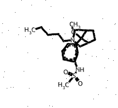 CCCCCN1CC2CCC(C1)C2(OC)c1cccc(NS(C)(=O)=O)c1